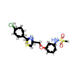 CS(=O)(=O)Nc1cccc(OCc2csc(-c3ccc(Cl)cc3)n2)c1